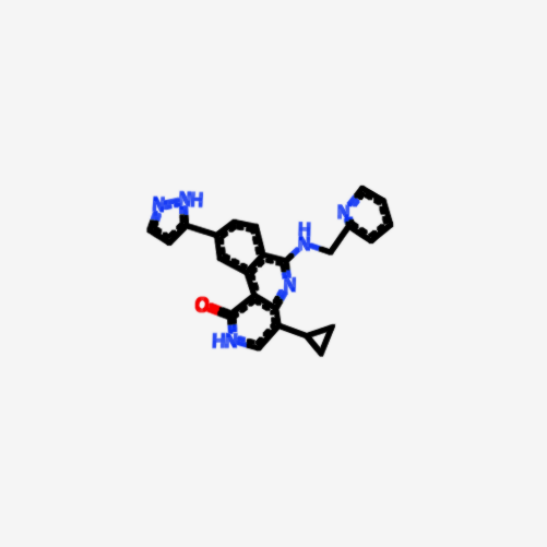 O=c1[nH]cc(C2CC2)c2nc(NCc3ccccn3)c3ccc(-c4ccn[nH]4)cc3c12